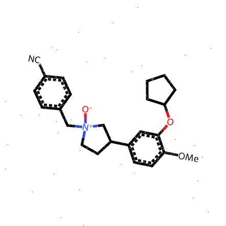 COc1ccc(C2CC[N+]([O-])(Cc3ccc(C#N)cc3)C2)cc1OC1CCCC1